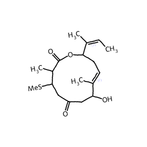 C/C=C(/C)C1C/C=C(\C)C(O)CC(=O)CC(SC)C(C)C(=O)O1